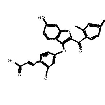 Cc1ccc(C(=O)c2sc3cc(O)ccc3c2Oc2ccc(/C=C/C(=O)O)c(Cl)c2)c(C)c1